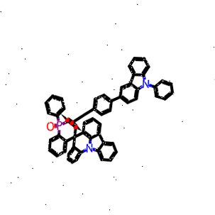 O=P1(c2ccccc2)c2ccccc2C2(c3ccccc3-n3c4ccccc4c4cccc2c43)c2cc(-c3ccc(-c4ccc5c(c4)c4ccccc4n5-c4ccccc4)cc3)ccc21